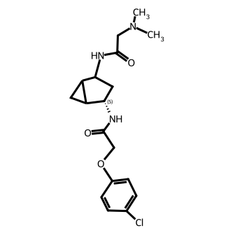 CN(C)CC(=O)NC1C[C@H](NC(=O)COc2ccc(Cl)cc2)C2CC12